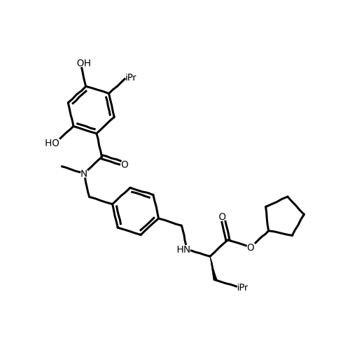 CC(C)C[C@@H](NCc1ccc(CN(C)C(=O)c2cc(C(C)C)c(O)cc2O)cc1)C(=O)OC1CCCC1